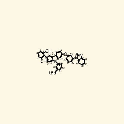 Cc1cccc(C)c1-c1ccc2c(c1)c1ccc(Oc3cccc(-n4cnc5ccccc54)c3)cc1n2-c1cc(C(C)(C)C)ccn1